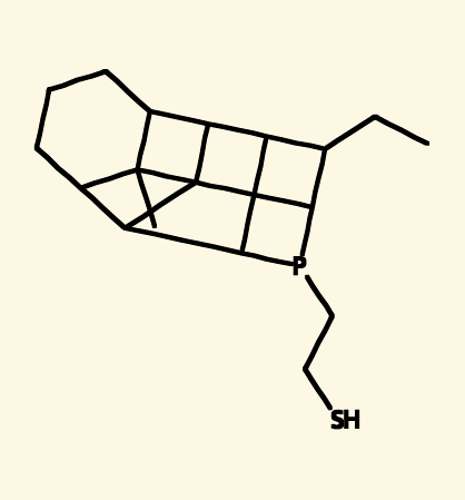 CCC1C2C3C4CCCC5C6C7P(CCS)C1C27C36C45C